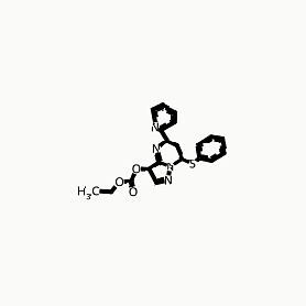 CCOC(=O)OC1C=NN2C1=NC(c1ccccn1)CC2Sc1ccccc1